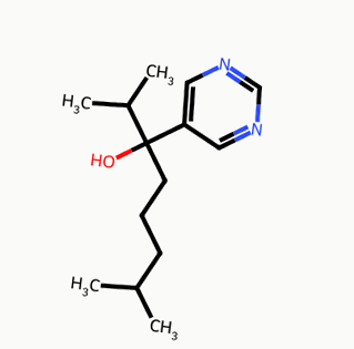 CC(C)CCCC(O)(c1cncnc1)C(C)C